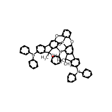 CC1(C)c2cc(N(c3ccccc3)c3ccccc3)ccc2-c2cc3c4c(c21)N(c1ccccc1)c1c2c(cc5c1P4(=S)c1c(cccc1O5)O3)-c1ccc(N(c3ccccc3)c3ccccc3)cc1C2(C)C